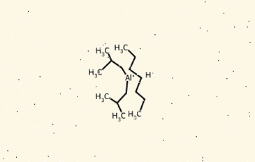 CC(C)[CH2][Al+][CH2]C(C)C.CCCCCCC.[H-]